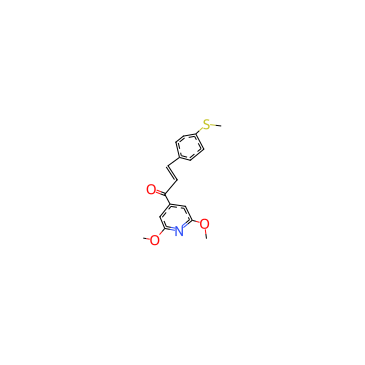 COc1cc(C(=O)/C=C/c2ccc(SC)cc2)cc(OC)n1